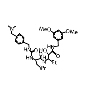 CCC(NC(=O)C(CC(C)C)NC(=O)NCc1ccc(CN(C)C)cc1)C(O)C(=O)NCc1cc(OC)cc(OC)c1